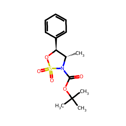 C[C@H]1[C@H](c2ccccc2)OS(=O)(=O)N1C(=O)OC(C)(C)C